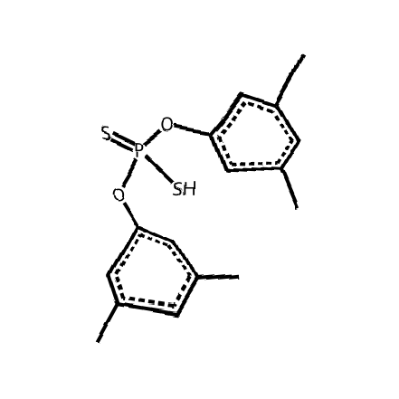 Cc1cc(C)cc(OP(=S)(S)Oc2cc(C)cc(C)c2)c1